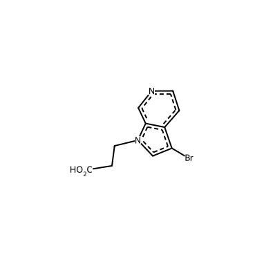 O=C(O)CCn1cc(Br)c2ccncc21